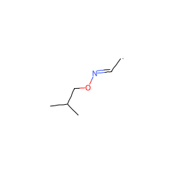 [CH2]/C=N/OCC(C)C